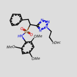 CCCCCCCCCCCCn1nnc(C(Cc2ccccc2)S(=O)(=O)Nc2c(OC)cc(OC)cc2OC)n1